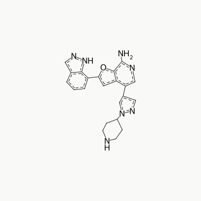 Nc1ncc(-c2cnn(C3CCNCC3)c2)c2cc(-c3cccc4cn[nH]c34)oc12